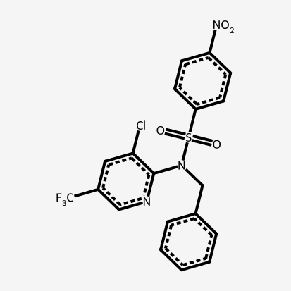 O=[N+]([O-])c1ccc(S(=O)(=O)N(Cc2ccccc2)c2ncc(C(F)(F)F)cc2Cl)cc1